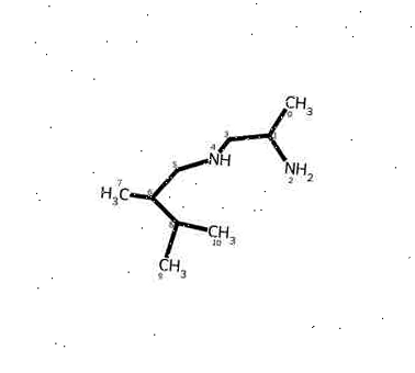 CC(N)CNCC(C)C(C)C